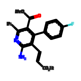 CCOC(=O)/C=C/c1c(N)nc(C(C)C)c(C(=O)OC)c1-c1ccc(F)cc1